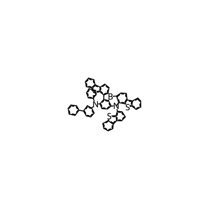 c1ccc(-c2cccc(N(c3ccccc3)c3ccc4c5c3-c3c(ccc6c3sc3ccccc36)B5c3ccc5c(sc6ccccc65)c3N4c3cccc4c3sc3ccccc34)c2)cc1